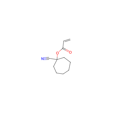 C=CC(=O)OC1(C#N)CCCCCC1